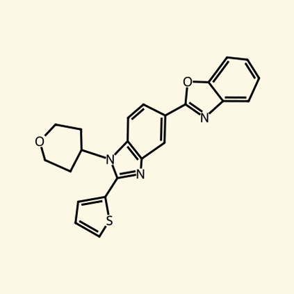 c1csc(-c2nc3cc(-c4nc5ccccc5o4)ccc3n2C2CCOCC2)c1